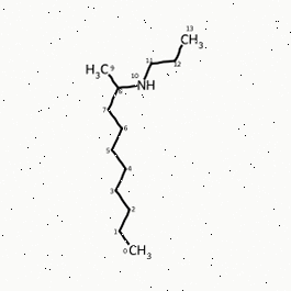 CCCCCCCCC(C)NCCC